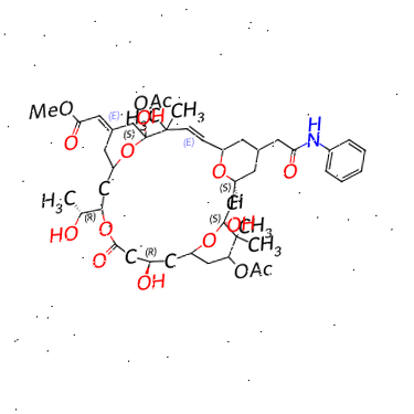 COC(=O)/C=C1\CC2CC([C@@H](C)O)OC(=O)C[C@H](O)CC3CC(OC(C)=O)C(C)(C)[C@](O)(C[C@@H]4CC(CC(=O)Nc5ccccc5)CC(/C=C/C(C)(C)C(O)(O2)[C@H]1OC(C)=O)O4)O3